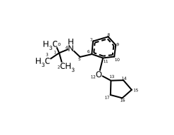 CC(C)(C)NCc1ccccc1OC1CCCC1